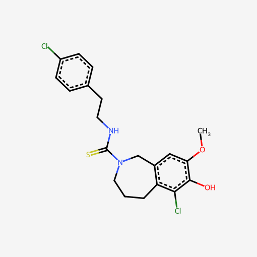 COc1cc2c(c(Cl)c1O)CCCN(C(=S)NCCc1ccc(Cl)cc1)C2